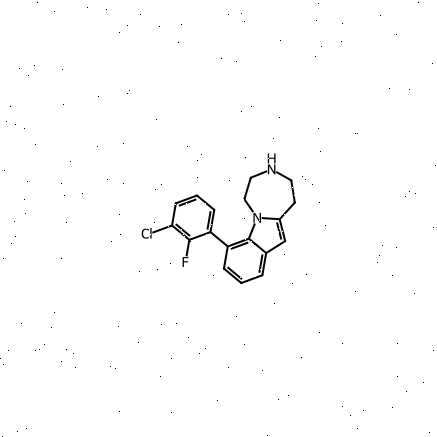 Fc1c(Cl)cccc1-c1cccc2cc3n(c12)CCNCC3